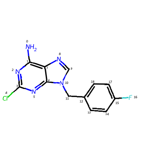 Nc1nc(Cl)nc2c1ncn2Cc1ccc(F)cc1